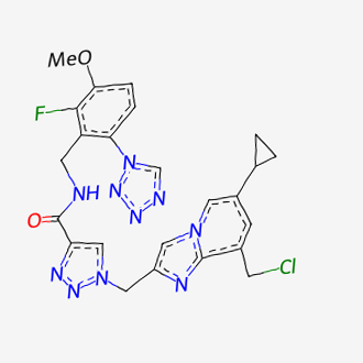 COc1ccc(-n2cnnn2)c(CNC(=O)c2cn(Cc3cn4cc(C5CC5)cc(CCl)c4n3)nn2)c1F